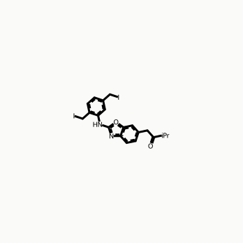 CC(C)C(=O)Cc1ccc2nc(Nc3cc(CI)ccc3CI)oc2c1